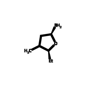 B[C@@H]1CC(C)[C@H](CC)O1